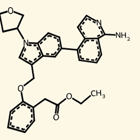 CCOC(=O)Cc1ccccc1OCc1cn(C2CCOC2)c2ccc(-c3cccc4c(N)nccc34)cc12